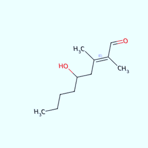 CCCCC(O)C/C(C)=C(\C)C=O